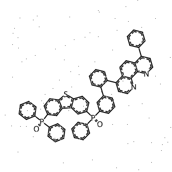 O=P(c1ccccc1)(c1ccccc1)c1ccc2sc3ccc(P(=O)(c4ccccc4)c4cccc(-c5ccccc5-c5ccnc6c5ccc5c(-c7ccccc7)ccnc56)c4)cc3c2c1